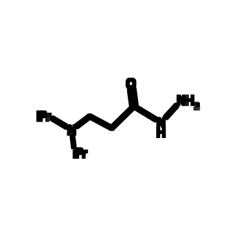 CC(C)N(CCC(=O)NN)C(C)C